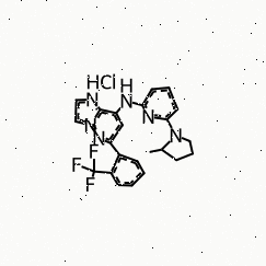 CC1CCCN1c1cccc(Nc2cc(-c3ccccc3C(F)(F)F)nn3ccnc23)n1.Cl